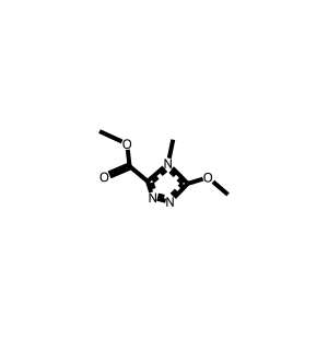 COC(=O)c1nnc(OC)n1C